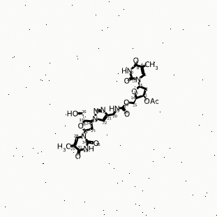 CC(=O)O[C@@H]1C[C@H](n2cc(C)c(=O)[nH]c2=O)O[C@@H]1COC(=O)NCc1cn(C2C[C@H](n3cc(C)c(=O)[nH]c3=O)O[C@@H]2CO)nn1